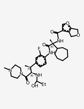 CCC(O)N[C@@H](C(=O)N1CCN(C)CC1)[C@@H](C)c1ccc(NC(=O)[C@](C)(NC(=O)c2coc3c2COC3)C2CCCCCC2)c(F)c1